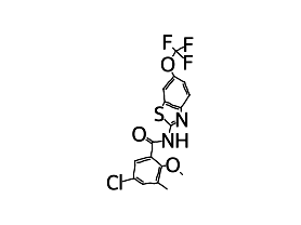 COc1c(C)cc(Cl)cc1C(=O)Nc1nc2ccc(OC(F)(F)F)cc2s1